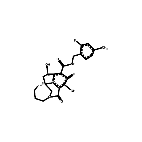 Cc1ccc(CNC(=O)c2c3n4c(c(O)c2=O)C(=O)N2CCCC[C@@]4(C[C@H]3O)C2)c(F)c1